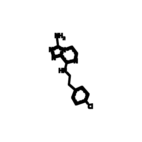 Nc1nnc2c(NCCc3ccc(Cl)cc3)nccn12